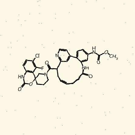 COC(=O)Nc1ccc2c(c1)NC(=O)CC/C=C\CC(C(=O)N1CCC[C@@]3(C1)OC(=O)Nc1ccc(Cl)c(F)c13)c1cc-2ccn1